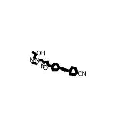 CC(O)c1nccn1Cc1cc(-c2ccc(C#Cc3ccc(C#N)cc3)cc2)on1